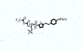 CCCCCc1ccc(CCc2ccc(S(=O)(=O)N[C@H](CC(=O)OC(=O)C(F)(F)F)C[N+](C)(C)C)s2)cc1